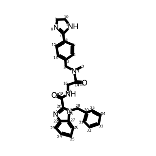 CN(Cc1ccc(C2=NCCN2)cc1)C(=O)CNC(=O)c1nc2ccccc2n1Cc1ccccc1